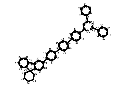 c1ccc(-c2cc(-c3ccc(-c4ccc(-c5ccc(-c6ccc7c(c6)-c6ccccc6C76CCCCC6)cc5)cc4)cc3)nc(-c3ccccc3)n2)cc1